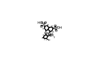 Cc1ccccc1N.Nc1cc(S(=O)(=O)O)cc2cc(S(=O)(=O)O)cc(O)c12